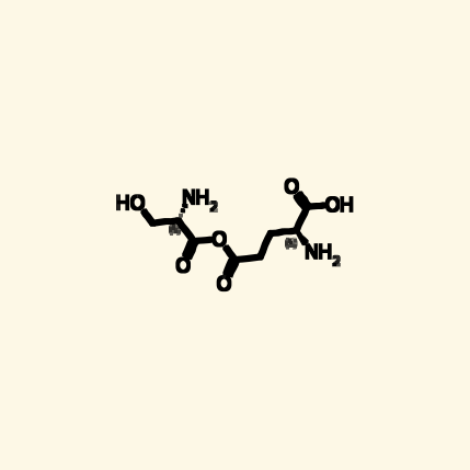 N[C@@H](CCC(=O)OC(=O)[C@@H](N)CO)C(=O)O